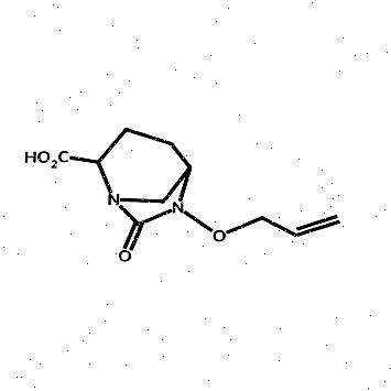 C=CCON1C(=O)N2CC1CCC2C(=O)O